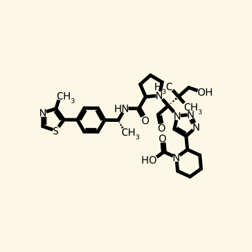 Cc1ncsc1-c1ccc([C@@H](C)NC(=O)C2CCCN2[C@](C=O)(n2cc(C3CCCCN3C(=O)O)nn2)C(C)(C)CO)cc1